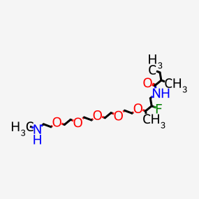 CCC(C)C(=O)NCC(F)C(C)OCCOCCOCCOCCOCCNC